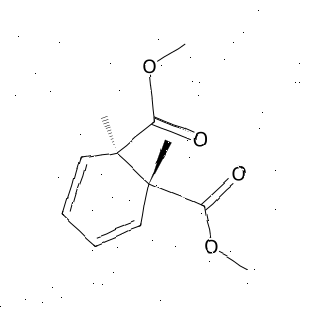 COC(=O)[C@]1(C)C=CC=C[C@@]1(C)C(=O)OC